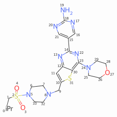 CC(C)CS(=O)(=O)N1CCN(Cc2cc3nc(-c4cnc(N)nc4)nc(N4CCOCC4)c3s2)CC1